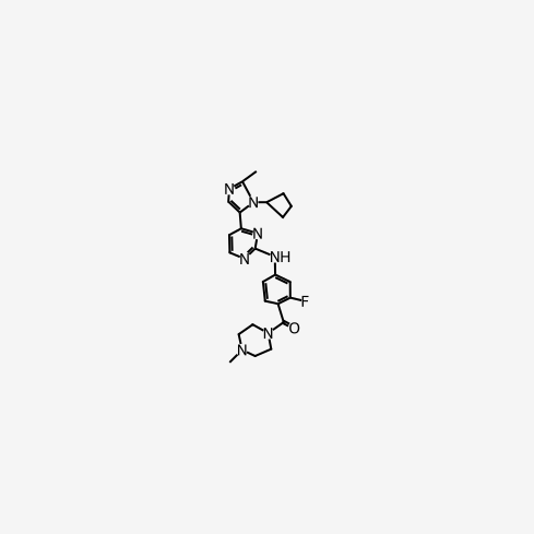 Cc1ncc(-c2ccnc(Nc3ccc(C(=O)N4CCN(C)CC4)c(F)c3)n2)n1C1CCC1